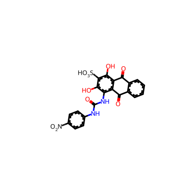 O=C(Nc1ccc([N+](=O)[O-])cc1)Nc1c(O)c(S(=O)(=O)O)c(O)c2c1C(=O)c1ccccc1C2=O